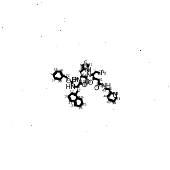 CC(C)CC(NC(=O)[C@H](Cc1cscn1)NC(=O)[C@H](Cc1cccc2ccccc12)NC(=O)OCc1ccccc1)C(O)CC(=O)NCCc1ccccn1